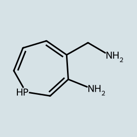 NCC1=CC=CPC=C1N